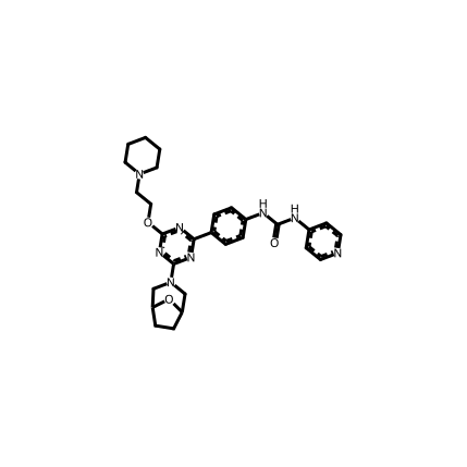 O=C(Nc1ccncc1)Nc1ccc(-c2nc(OCCN3CCCCC3)nc(N3CC4CCC(C3)O4)n2)cc1